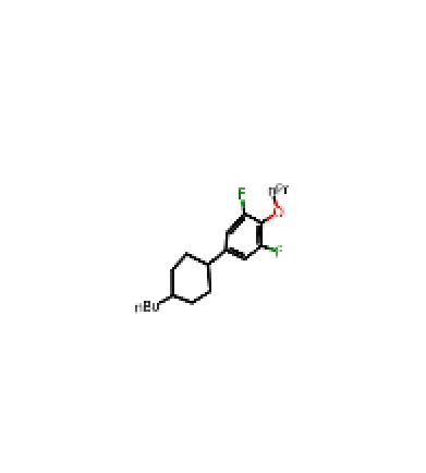 CCCCC1CCC(c2cc(F)c(OCCC)c(F)c2)CC1